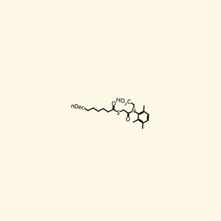 CCCCCCCCCCCCCCCC(=O)SCC(=O)N(CC(=O)O)c1c(C)ccc(C)c1C